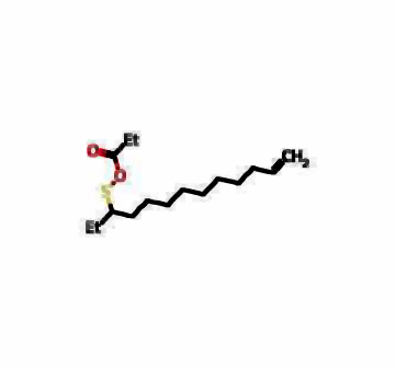 C=CCCCCCCCCC(CC)SOC(=O)CC